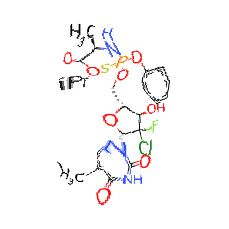 Cc1cn([C@@H]2O[C@H](COP(=S)(N[C@H](C)C(=O)OC(C)C)Oc3ccccc3)[C@@H](O)[C@]2(F)Cl)c(=O)[nH]c1=O